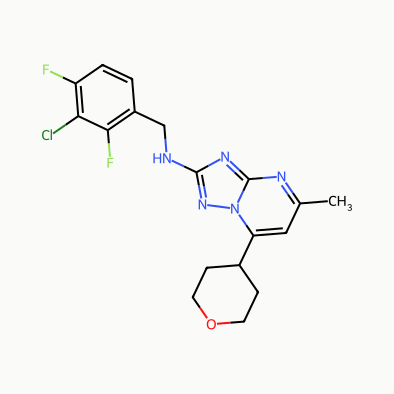 Cc1cc(C2CCOCC2)n2nc(NCc3ccc(F)c(Cl)c3F)nc2n1